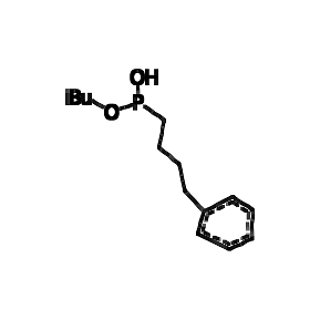 CCC(C)OP(O)CCCCc1ccccc1